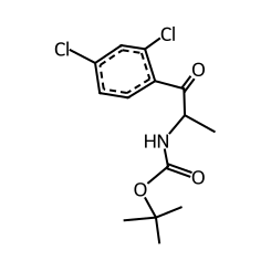 CC(NC(=O)OC(C)(C)C)C(=O)c1ccc(Cl)cc1Cl